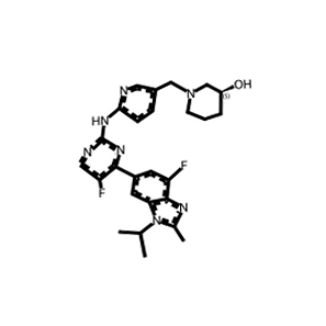 Cc1nc2c(F)cc(-c3nc(Nc4ccc(CN5CCC[C@H](O)C5)cn4)ncc3F)cc2n1C(C)C